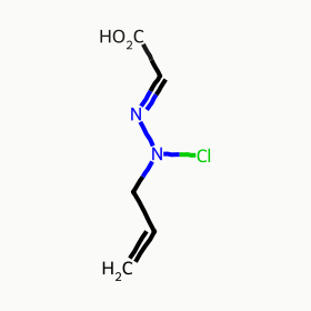 C=CCN(Cl)N=CC(=O)O